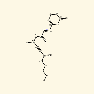 CCCCOC(=O)C#C[C@@H](C)OC(=O)/C=C/C1=CCC[C@@H](C)C1